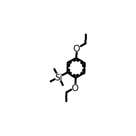 CCOc1ccc(OCC)c([Si](C)(C)C)c1